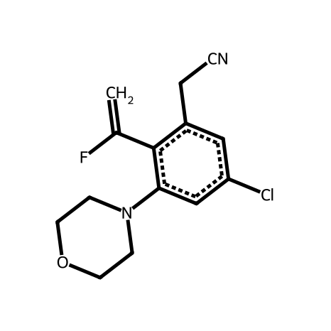 C=C(F)c1c(CC#N)cc(Cl)cc1N1CCOCC1